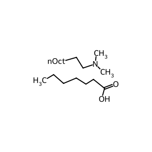 CCCCCCC(=O)O.CCCCCCCCCCN(C)C